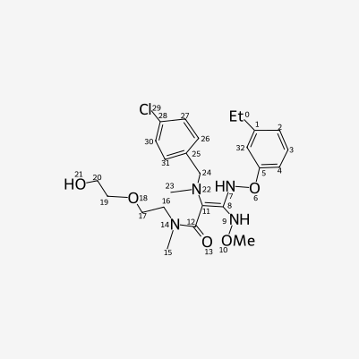 CCc1cccc(ON/C(NOC)=C(/C(=O)N(C)CCOCCO)N(C)Cc2ccc(Cl)cc2)c1